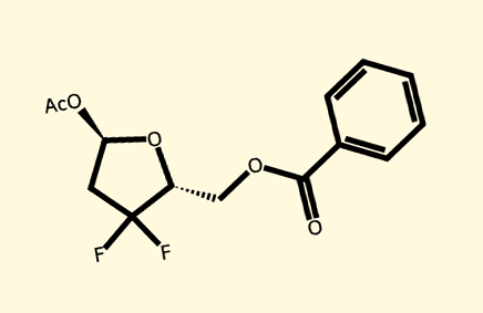 CC(=O)O[C@@H]1CC(F)(F)[C@@H](COC(=O)c2ccccc2)O1